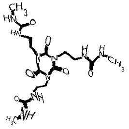 CNC(=O)NCCn1c(=O)n(CCNC(=O)NC)c(=O)n(CCNC(=O)NC)c1=O